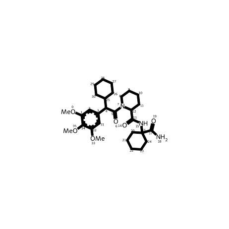 COc1cc(C(C(=O)N2CCCCC2C(=O)NC2(C(N)=O)CCCCC2)C2CCCCC2)cc(OC)c1OC